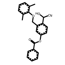 Cc1cccc(C)c1OCc1cc(OC(=O)c2ccccc2)ccc1C(O)C#N